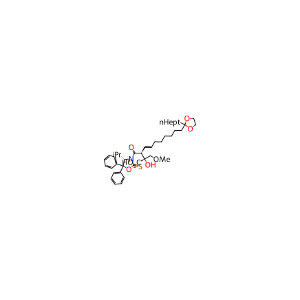 CCCCCCCC1(CCCCCCC=C[C@H](C(=O)N2C(=S)OC(c3ccccc3)(c3ccccc3)[C@@H]2C(C)C)[C@@](O)(COC)C(=O)O)OCCO1